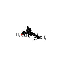 COc1cccc(CN(C(=O)C2=C(c3cccc(OCCOc4c(Cl)cc(C)cc4Cl)c3)CC3CNC[C@H]2N3)C2CC2)c1C